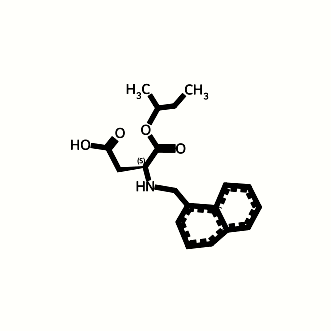 CCC(C)OC(=O)[C@H](CC(=O)O)NCc1cccc2ccccc12